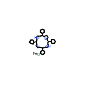 C1=Cc2nc1c(-c1ccccc1)c1ccc([nH]1)c(-c1ccccc1)c1nc(c(-c3ccccc3)c3ccc([nH]3)c2-c2ccccc2)C=C1.[Cl][Fe]